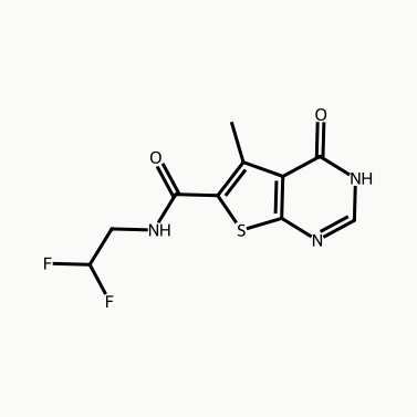 Cc1c(C(=O)NCC(F)F)sc2nc[nH]c(=O)c12